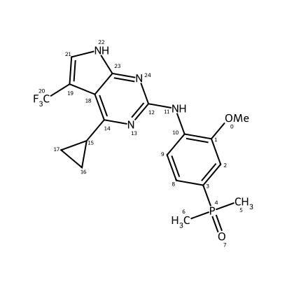 COc1cc(P(C)(C)=O)ccc1Nc1nc(C2CC2)c2c(C(F)(F)F)c[nH]c2n1